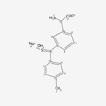 Cc1ccc(C(=S)c2cccc(C(N)C(=O)[O-])c2)cc1.O.[Na+]